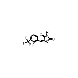 O=C1NC(=O)/C(=C\c2cccc(C(F)(F)F)c2F)S1